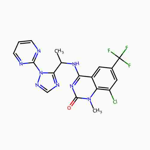 CC(Nc1nc(=O)n(C)c2c(Cl)cc(C(F)(F)F)cc12)c1ncnn1-c1ncccn1